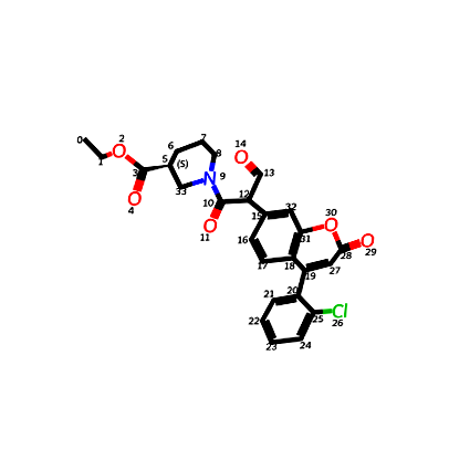 CCOC(=O)[C@H]1CCCN(C(=O)C(C=O)c2ccc3c(-c4ccccc4Cl)cc(=O)oc3c2)C1